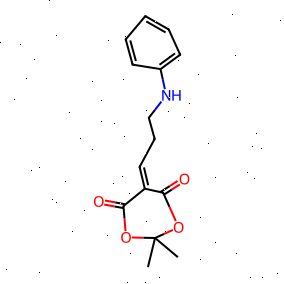 CC1(C)OC(=O)C(=CCCNc2ccccc2)C(=O)O1